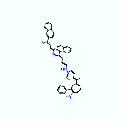 C\C=C(/C=C\C=C(/C)C1=CC=CC(N(C)C)=C(c2ccccc2)C1)N/C=C/C=C(\C=N/C(=C/C=C(\CC)c1ccc2ccccc2c1)CC)c1cccc2ccccc12